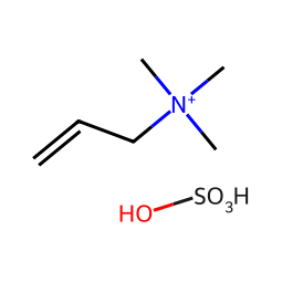 C=CC[N+](C)(C)C.O=S(=O)(O)O